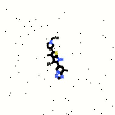 CC(=O)CN1CC[C@H](c2sc3[nH]c(-c4cc(C)c5ncnn5c4)c(C(C)C)c3c2C)C1